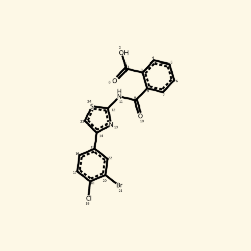 O=C(O)c1ccccc1C(=O)Nc1nc(-c2ccc(Cl)c(Br)c2)cs1